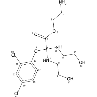 NCCOC(=O)C(NCCO)(NCCO)Oc1ccc(Cl)cc1Cl